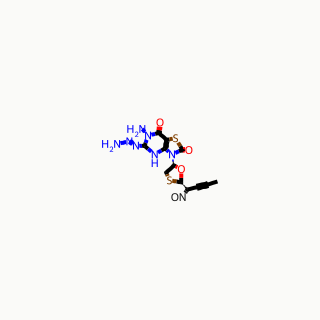 CC#CC(N=O)[C@H]1O[C@@H](n2c3c(sc2=O)C(=O)N(N)C(N=NN)N3)CS1